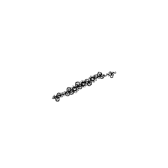 C=CC(=O)OCCCCOC(=O)COc1ccc(C(=O)Oc2ccc(OC(=O)c3ccc(OC(=O)OCCCCOC(=O)C=C)cc3)cc2)cc1